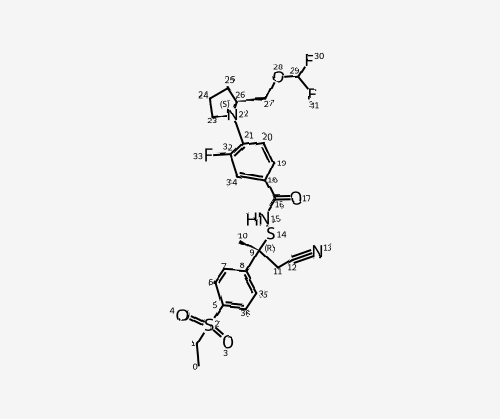 CCS(=O)(=O)c1ccc([C@@](C)(CC#N)SNC(=O)c2ccc(N3CCC[C@H]3COC(F)F)c(F)c2)cc1